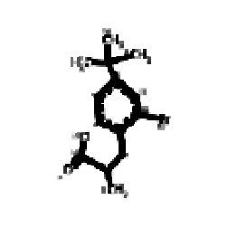 CC(Cc1ccc(C(C)(C)C)cc1Br)C(=O)Cl